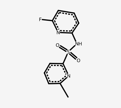 Cc1cccc(S(=O)(=O)Nc2cccc(F)n2)n1